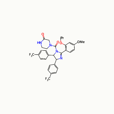 COc1ccc(C2=NC(c3ccc(C(F)(F)F)cc3)C(c3ccc(C(F)(F)F)cc3)N2C(=O)N2CCNC(=O)C2)c(OC(C)C)c1